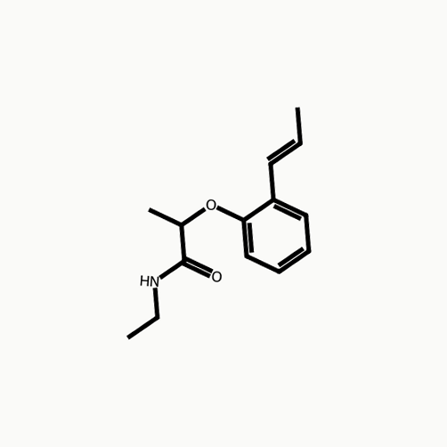 CC=Cc1ccccc1OC(C)C(=O)NCC